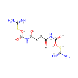 N=C(N)SOC(=O)NC(=O)CCC(=O)NC(=O)OSC(=N)N